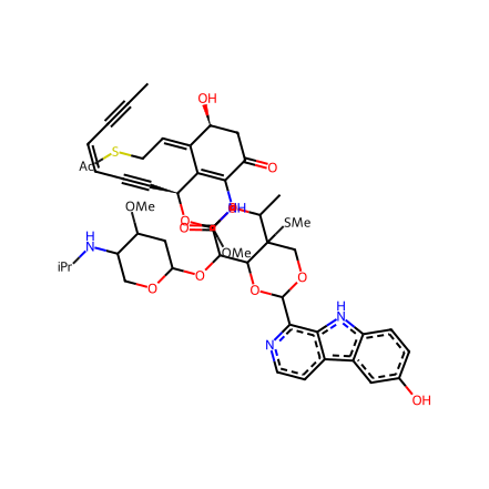 CC#C/C=C\C#C[C@H](OC1OC(C)C2(SC)COC(c3nccc4c3[nH]c3ccc(O)cc34)OC2C1OC1CC(OC)C(NC(C)C)CO1)C1=C(NC(=O)OC)C(=O)C[C@H](O)/C1=C/CSC(C)=O